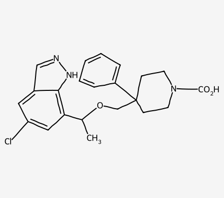 CC(OCC1(c2ccccc2)CCN(C(=O)O)CC1)c1cc(Cl)cc2cn[nH]c12